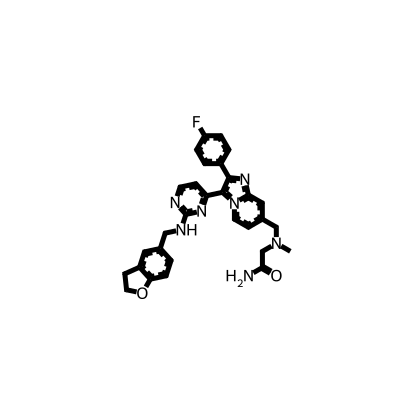 CN(CC(N)=O)Cc1ccn2c(-c3ccnc(NCc4ccc5c(c4)CCO5)n3)c(-c3ccc(F)cc3)nc2c1